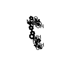 COC(=O)N[C@H](C(=O)N1CCC[C@H]1c1nc2c([nH]1)-c1ccc(-c3ccc(-c4cnc([C@@H]5CCC[C@H]5NC(=O)[C@@H](NC(=O)O)C(C)C)[nH]4)cc3)cc1CCC2)C(C)C